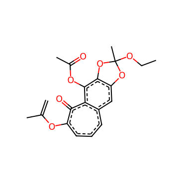 C=C(C)Oc1cccc2cc3c(c(OC(C)=O)c2c1=O)OC(C)(OCC)O3